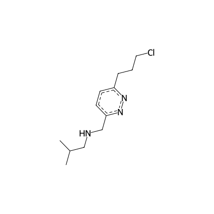 CC(C)CNCc1ccc(CCCCl)nn1